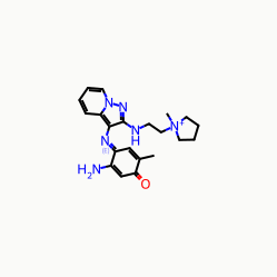 CC1=C/C(=N\c2c(NCC[N+]3(C)CCCC3)nn3ccccc23)C(N)=CC1=O